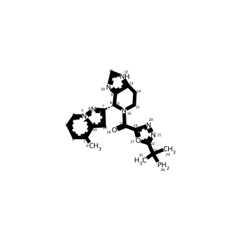 Cc1cccn2nc([C@@H]3c4nc[nH]c4CCN3C(=O)c3nnc(C(C)(C)P)o3)cc12